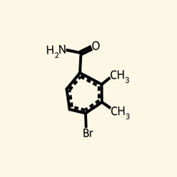 Cc1c(Br)ccc(C(N)=O)c1C